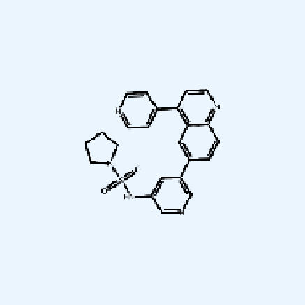 O=S(=O)(Nc1cncc(-c2ccc3nccc(-c4ccncc4)c3c2)c1)N1CCCC1